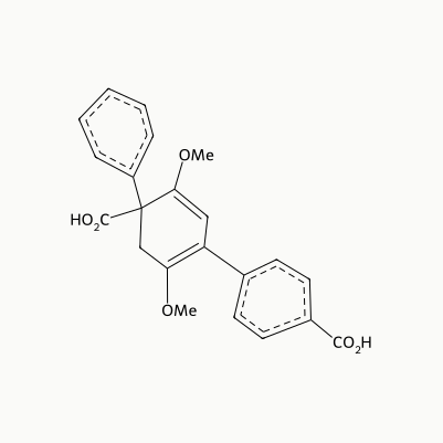 COC1=CC(c2ccc(C(=O)O)cc2)=C(OC)CC1(C(=O)O)c1ccccc1